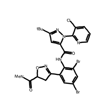 CNC(=O)C1CC(c2cc(Br)cc(Br)c2NC(=O)c2cc(C(C)(C)C)nn2-c2ncccc2Cl)=NO1